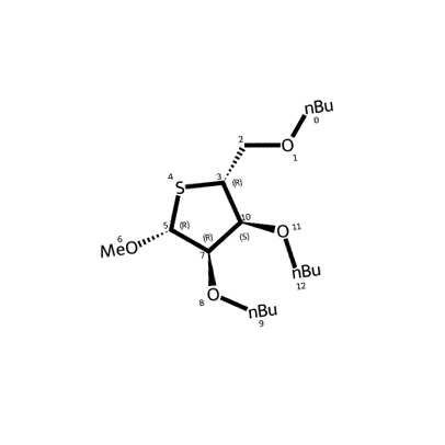 CCCCOC[C@H]1S[C@@H](OC)[C@H](OCCCC)[C@@H]1OCCCC